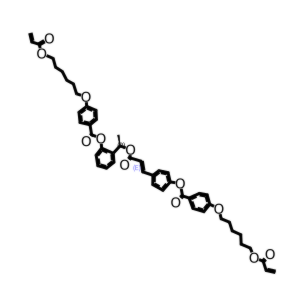 C=CC(=O)OCCCCCCOc1ccc(C(=O)Oc2ccc(/C=C/C(=O)O[C@H](C)c3ccccc3OC(=O)c3ccc(OCCCCCCOC(=O)C=C)cc3)cc2)cc1